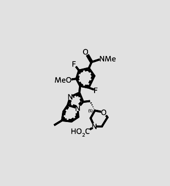 CNC(=O)c1cc(F)c(-c2nc3cc(C)ccn3c2C[C@H]2CN(C(=O)O)CCO2)c(OC)c1F